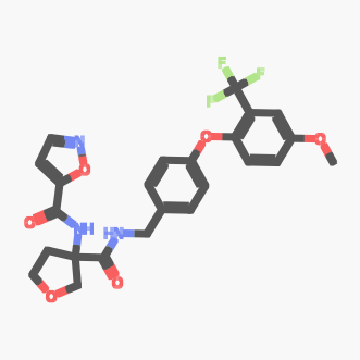 COc1ccc(Oc2ccc(CNC(=O)C3(NC(=O)c4ccno4)CCOC3)cc2)c(C(F)(F)F)c1